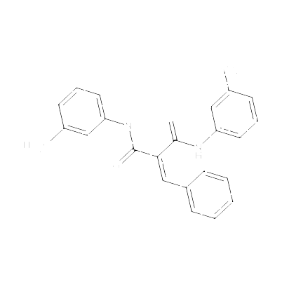 O=C(Nc1cccc(C(=O)O)c1)C(=Cc1ccccc1)C(=O)Nc1cccc(C(=O)O)c1